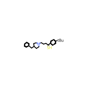 CC(C)(C)c1ccc([C@H](S)CCCN2CCC(Cc3ccccc3)CC2)cc1